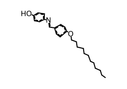 CCCCCCCCCCCCOc1ccc(C=Nc2ccc(O)cc2)cc1